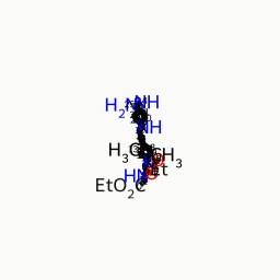 CCOC(=O)CNC(=O)CN(C(=O)CC)c1cc(C)c(C#CCNc2ccc(C(=N)N)cc2)cc1C